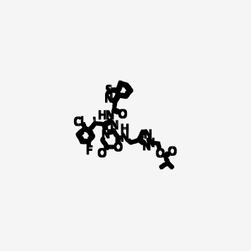 CC(=O)Cn1c(C(=O)NCc2cnn(COC(=O)C(C)C)n2)nc(NC(=O)c2nsc3ccccc23)c1[C@@H](C)c1cc(F)ccc1Cl